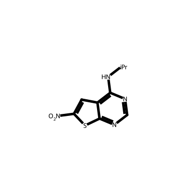 CC(C)Nc1ncnc2sc([N+](=O)[O-])cc12